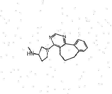 CNC1CCN(c2ncnc3c2CCCc2ccccc2-3)C1